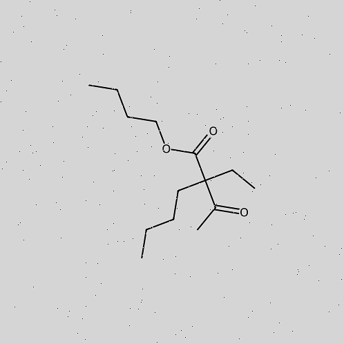 CCCCOC(=O)C(CC)(CCCC)C(C)=O